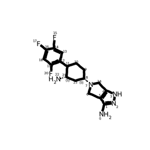 Nc1n[nH]c2c1CN([C@H]1CCC(c3cc(F)c(F)cc3F)[C@@H](N)C1)C2